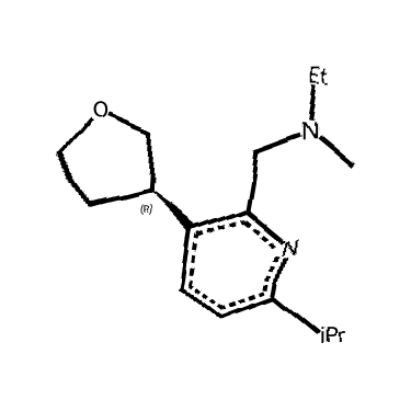 CCN(C)Cc1nc(C(C)C)ccc1[C@H]1CCOC1